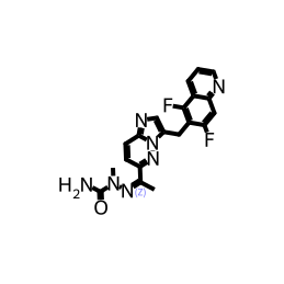 C/C(=N/N(C)C(N)=O)c1ccc2ncc(Cc3c(F)cc4ncccc4c3F)n2n1